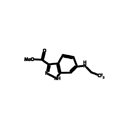 COC(=O)c1n[nH]c2cc(NCC(F)(F)F)ccc12